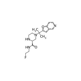 CC(C)(c1cc2cnccc2o1)N1CCN[C@H](C(=O)NCCF)C1